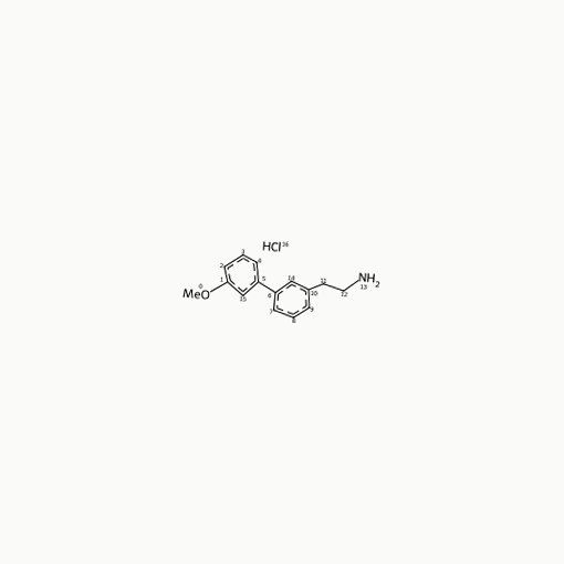 COc1cccc(-c2cccc(CCN)c2)c1.Cl